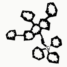 C(#C[Si](c1ccccc1)(c1ccccc1)c1ccccc1)c1c2ccc(-c3ccccc3)cc2c(-c2ccccc2)c2cc(-c3ccccc3)ccc12